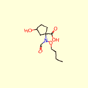 CCCCON(C=O)C1(C(=O)O)CCC(O)C1